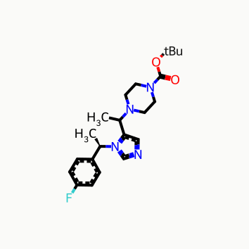 CC(c1cncn1[C@H](C)c1ccc(F)cc1)N1CCN(C(=O)OC(C)(C)C)CC1